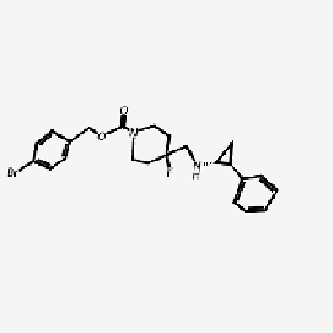 O=C(OCc1ccc(Br)cc1)N1CCC(F)(CN[C@@H]2C[C@H]2c2ccccc2)CC1